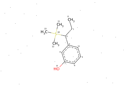 CCC(c1cccc(O)c1)S(C)(C)C